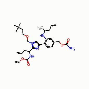 C=CCC(NC(=O)OC(C)(C)C)c1nc(-c2ccc(COC(N)=O)cc2NC(CC=C)C(F)(F)F)cn1COCC[Si](C)(C)C